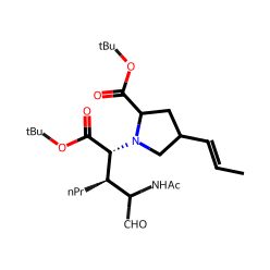 CC=CC1CC(C(=O)OC(C)(C)C)N([C@@H](C(=O)OC(C)(C)C)[C@H](CCC)C(C=O)NC(C)=O)C1